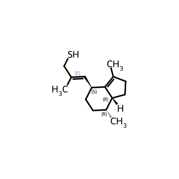 CC1=C2[C@H](/C=C(\C)CS)CC[C@@H](C)[C@H]2CC1